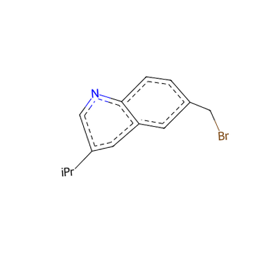 CC(C)c1cnc2ccc(CBr)cc2c1